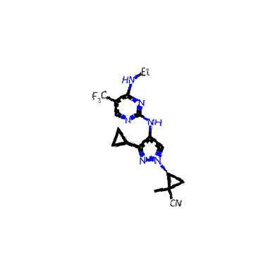 CCNc1nc(Nc2cn([C@H]3CC3(C)C#N)nc2C2CC2)ncc1C(F)(F)F